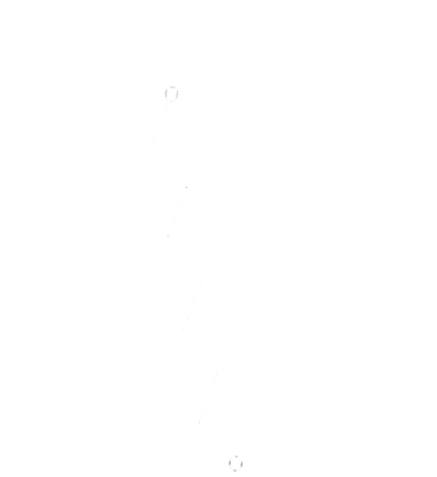 COCCCCCCC=O